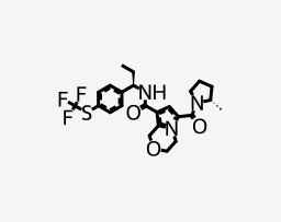 CC[C@@H](NC(=O)c1cc(C(=O)N2CCC[C@@H]2C)n2c1COCC2)c1ccc(SC(F)(F)F)cc1